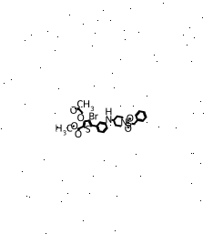 COC(=O)c1sc(-c2cccc(NC3CCN(S(=O)(=O)Cc4ccccc4)CC3)c2)c(Br)c1OCC(C)=O